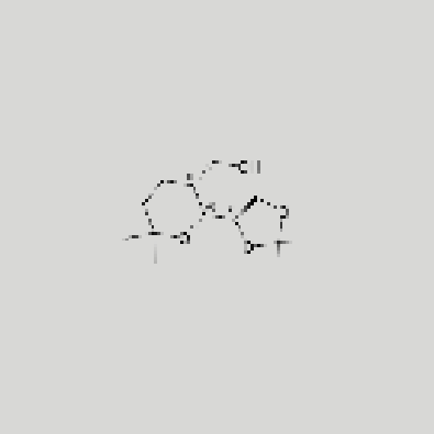 CC1(C)CC[C@H](CO)[C@H]([C@H]2COC(C)(C)O2)O1